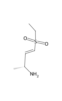 CCS(=O)(=O)/C=C/[C@@H](C)N